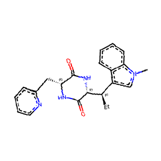 CC[C@H](c1cn(C)c2ccccc12)[C@H]1NC(=O)[C@@H](Cc2ccccn2)NC1=O